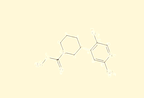 CC(C)(C)OC(=O)N1CCC[C@H](c2cc(N)ncc2C(F)(F)F)C1